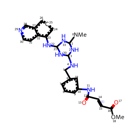 CNC1NC(NCc2cccc(NC(=O)/C=C/C(=O)OC)c2)NC(Nc2cccc3cnccc23)N1